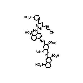 COc1cc(N=Nc2cc3c(S(=O)(=O)O)cccc3cc2S(=O)(=O)O)c(NC(C)=O)cc1N=Nc1ccc(Nc2nc(NCCO)nc(-[n+]3cccc(C(=O)O)c3)n2)c2c(S(=O)(=O)O)cccc12